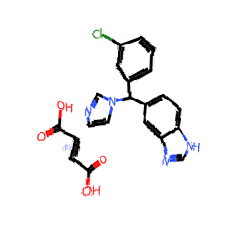 Clc1cccc(C(c2ccc3[nH]cnc3c2)n2ccnc2)c1.O=C(O)/C=C/C(=O)O